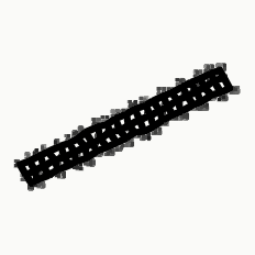 C1C2CC3C4C5C6C7C8C9C%10C%11C%12C%13C%14C%15C%16C%17C%18C%19C%20C%21C%22CC%23CC%24C%25C%26C%27C%28C%29C%30C%31C%32C%33C%34C%35C%36C%37C%38C%39C%40C%41C%42C1C23C%424C%415C%406C%397C%388C%379C%36%10C%35%11C%34%12C%33%13C%32%14C%31%15C%30%16C%29%17C%28%18C%27%19C%26%20C%25%21C%23%24%22